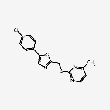 Cc1ccnc(SCc2ncc(-c3ccc(Cl)cc3)o2)n1